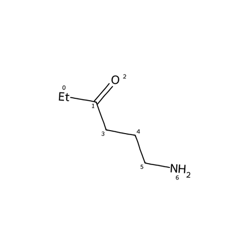 CCC(=O)CCCN